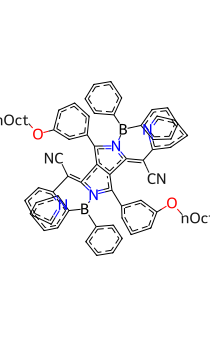 CCCCCCCCOc1cccc(-c2c3/c(=C(\C#N)c4ccccn4)n(B(c4ccccc4)c4ccccc4)c(-c4cccc(OCCCCCCCC)c4)c3/c(=C(\C#N)c3ccccn3)n2B(c2ccccc2)c2ccccc2)c1